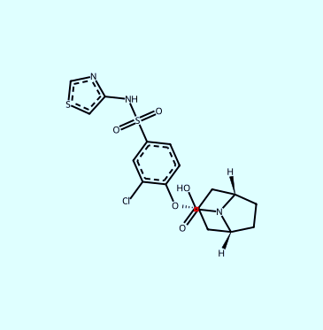 O=C(O)N1[C@@H]2CC[C@H]1C[C@@H](Oc1ccc(S(=O)(=O)Nc3cscn3)cc1Cl)C2